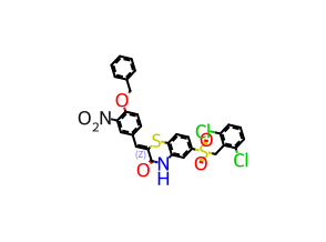 O=C1Nc2cc(S(=O)(=O)Cc3c(Cl)cccc3Cl)ccc2S/C1=C\c1ccc(OCc2ccccc2)c([N+](=O)[O-])c1